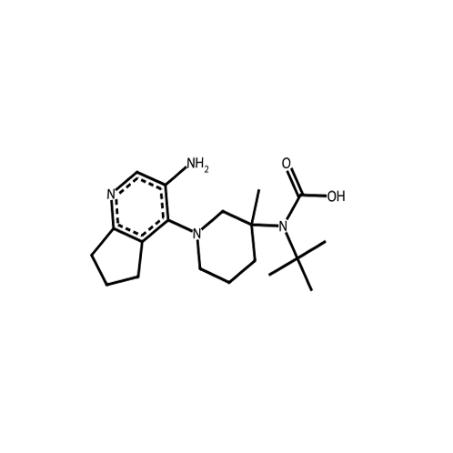 CC(C)(C)N(C(=O)O)C1(C)CCCN(c2c(N)cnc3c2CCC3)C1